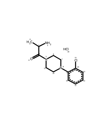 CC(N)C(=O)N1CCN(c2ccccc2Cl)CC1.Cl